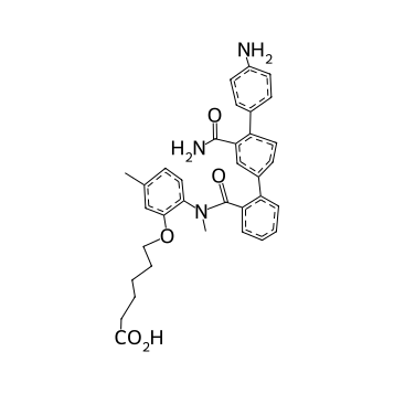 Cc1ccc(N(C)C(=O)c2ccccc2-c2ccc(-c3ccc(N)cc3)c(C(N)=O)c2)c(OCCCCCC(=O)O)c1